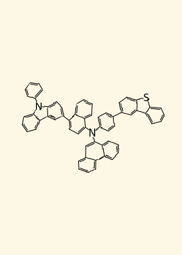 c1ccc(-n2c3ccccc3c3cc(-c4ccc(N(c5ccc(-c6ccc7sc8ccccc8c7c6)cc5)c5cc6ccccc6c6ccccc56)c5ccccc45)ccc32)cc1